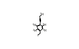 [2H]CC#Cc1c([2H])c([2H])c(CI)c([2H])c1[2H]